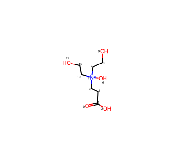 O=C(O)CC[N+](O)(CCO)CCO